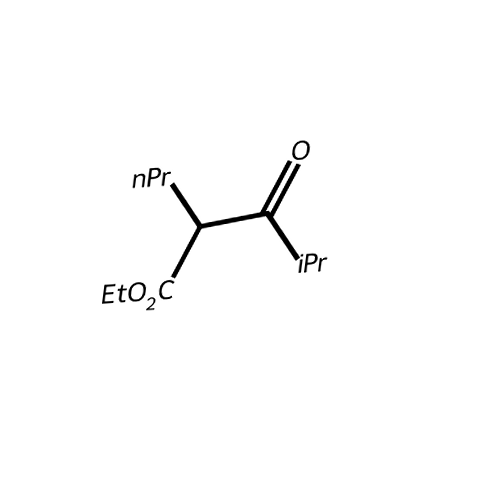 CCCC(C(=O)OCC)C(=O)C(C)C